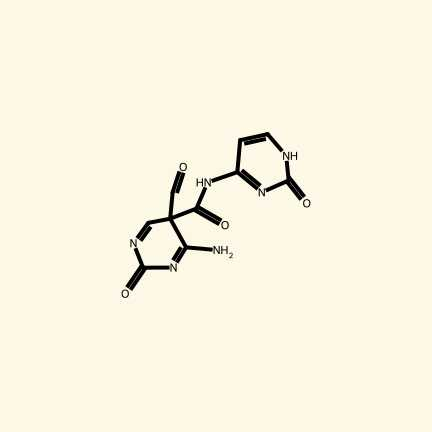 NC1=NC(=O)N=CC1(C=O)C(=O)Nc1cc[nH]c(=O)n1